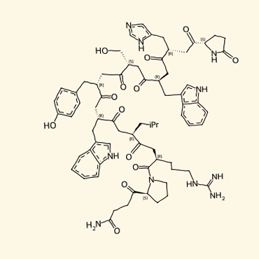 CC(C)C[C@H](CC(=O)[C@@H](CC(=O)[C@@H](CC(=O)[C@H](CO)CC(=O)[C@@H](CC(=O)[C@@H](CC(=O)[C@@H]1CCC(=O)N1)Cc1cnc[nH]1)Cc1c[nH]c2ccccc12)Cc1ccc(O)cc1)Cc1c[nH]c2ccccc12)C(=O)C[C@@H](CCCNC(=N)N)C(=O)N1CCC[C@H]1C(=O)CCC(N)=O